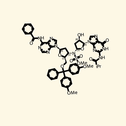 COc1ccc(C(OC[C@H]2O[C@@H](n3cnc4c(NC(=O)c5ccccc5)ncnc43)C[C@@H]2N([C@@H]2C[C@@H](O)[C@H](n3cnc4c(=O)[nH]c(NC(=O)C(C)C)nc43)O2)S(=O)(=O)OC)(c2ccccc2)c2ccc(OC)cc2)cc1